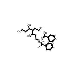 CCCC(O)C(CCC)C(O)CCC.O=C(O)c1ccccc1.O=C(O)c1ccccc1